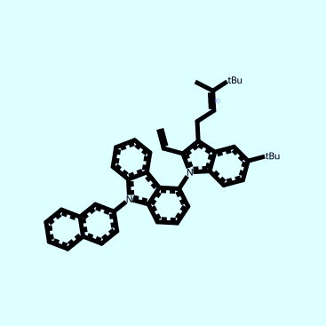 C=Cc1c(C/C=C(\C)C(C)(C)C)c2cc(C(C)(C)C)ccc2n1-c1cccc2c1c1ccccc1n2-c1ccc2ccccc2c1